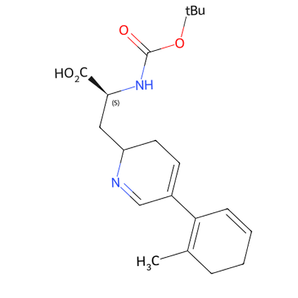 CC1=C(C2=CCC(C[C@H](NC(=O)OC(C)(C)C)C(=O)O)N=C2)C=CCC1